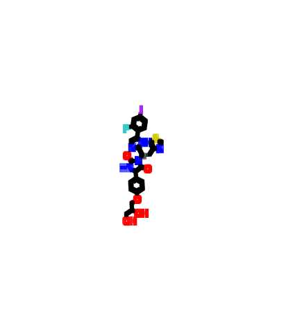 O=C1NC(c2ccc(OCC(O)CO)cc2)C(=O)N1[C@@H](Cc1cscn1)c1ncc(-c2ccc(I)cc2F)[nH]1